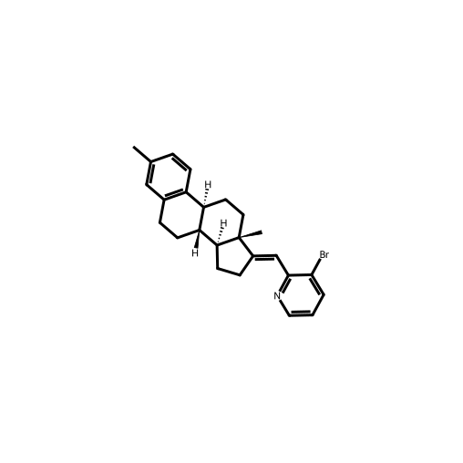 Cc1ccc2c(c1)CC[C@@H]1[C@@H]2CC[C@]2(C)C(=Cc3ncccc3Br)CC[C@@H]12